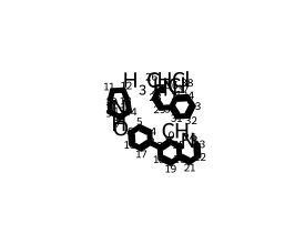 Cc1c(-c2ccc(OC3CC4CCC(C3)N4)cc2)ccc2cccnc12.Cc1ccc2ccccc2n1.Cl.Cl